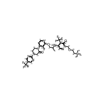 CC(COc1nccc(N2CCN(c3ncc(C(F)(F)F)cn3)CC2=O)c1F)Nc1cnn(COCC[Si](C)(C)C)c(=O)c1C(F)(F)F